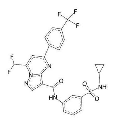 O=C(Nc1cccc(S(=O)(=O)NC2CC2)c1)c1cnn2c(C(F)F)cc(-c3ccc(C(F)(F)F)cc3)nc12